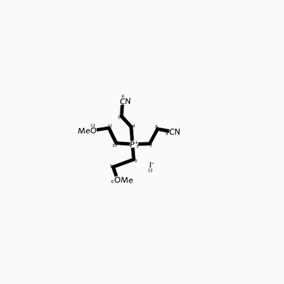 COCC[P+](CCC#N)(CCC#N)CCOC.[I-]